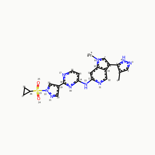 Cc1cn[nH]c1-c1cn(C(C)C)c2cc(Nc3ccnc(-c4cnn(S(=O)(=O)C5CC5)c4)n3)ncc12